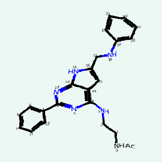 CC(=O)NCCNc1nc(-c2ccccc2)nc2[nH]c(CNc3ccccc3)cc12